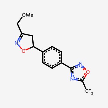 COCC1=NOC(c2ccc(-c3noc(C(F)(F)F)n3)cc2)C1